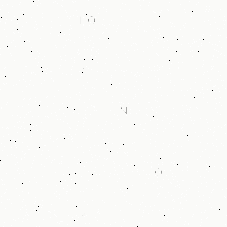 C=C(O)C1CCn2c(C(=O)c3ccccc3)ccc21